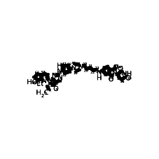 C=CCn1c(=O)c2cnc(Nc3ccc(N4CCN(CCCCCNc5ccc6c(c5)C(=O)N(C5CCC(=O)NC5=O)C6=O)CC4)cc3)nc2n1-c1ccc2c(n1)[C@@](O)(CC)CC2